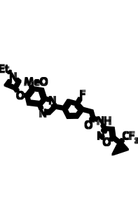 CCN1CC(Oc2cc3ncc(-c4ccc(CC(=O)Nc5cc(C6(C(F)(F)F)CC6)on5)c(F)c4)nc3cc2OC)C1